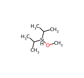 CO[SiH](C(C)C)C(C)C